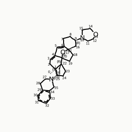 C[C@]12CC=C3C=C4CC[C@@H](N5CCOCC5)C[C@]45CCC3(O5)[C@@H]1CC[C@@H]2N1CCc2ccccc2C1